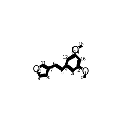 COc1cc(C=Cc2ccoc2)cc(OC)c1